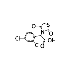 O=C(O)C(c1ccc(Cl)cc1Cl)N1C(=O)CSC1=O